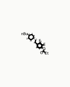 CCCC[C@H]1CC[C@H](CCc2ccc(OC(=O)CC)c(F)c2F)CC1